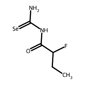 CCC(F)C(=O)NC(N)=[Se]